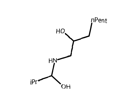 CCCCCCC(O)CNC(O)C(C)C